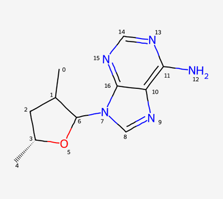 CC1C[C@@H](C)OC1n1cnc2c(N)ncnc21